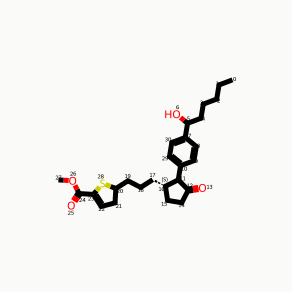 CCCCCC(O)c1ccc(C2C(=O)CC[C@@H]2CCCC2CC=C(C(=O)OC)S2)cc1